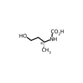 C[C@H](CCO)NC(=O)O